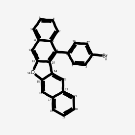 Brc1ccc(-c2c3ccccc3cc3oc4cc5ccccc5cc4c23)cc1